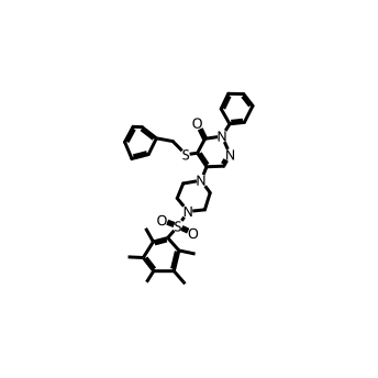 Cc1c(C)c(C)c(S(=O)(=O)N2CCN(c3cnn(-c4ccccc4)c(=O)c3SCc3ccccc3)CC2)c(C)c1C